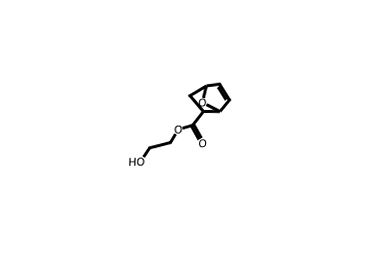 O=C(OCCO)C1CC2C=CC1O2